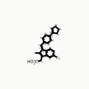 CC1=C(CC(=O)O)c2cc(F)ccc2/C1=C\c1ccc(C2=CCCC2)cc1